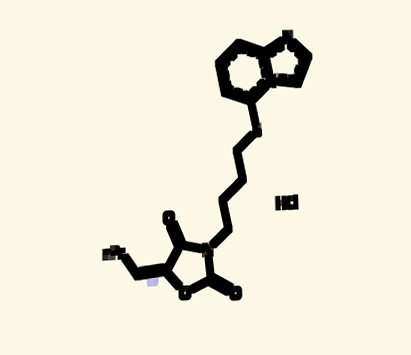 CCC/C=C1/OC(=O)N(CCCCSc2cccc3nccn23)C1=O.Cl